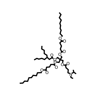 CCCCCCCCCCOC(=O)CCCC(=O)OCC(COC(=O)CCCC(=O)OCCCCCCCCCC)(COC(=O)CCCN(CC)C(C)C)COC(=O)CC(CCCCC)CCCCC